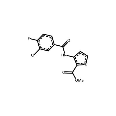 COC(=O)c1sccc1NC(=O)c1ccc(F)c(Cl)c1